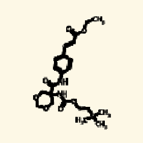 CCOC(=O)C=Cc1ccc(NC(=O)C2(NC(=O)OCC[Si](C)(C)C)COCOC2)cc1